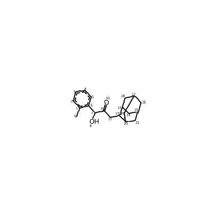 Cc1ccccc1C(O)C(=O)CC1C2CC3CC(C2)CC1C3